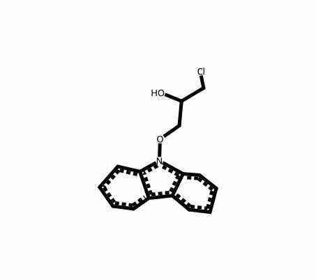 OC(CCl)COn1c2ccccc2c2ccccc21